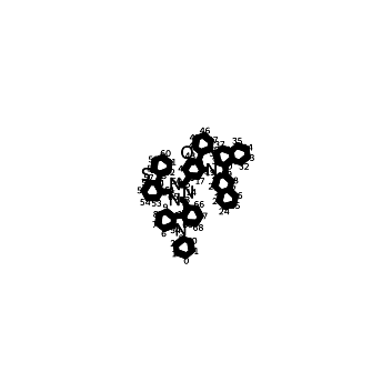 c1ccc(-n2c3ccccc3c3c(-c4nc(-c5cc(-n6c7cc8ccccc8cc7c7c8ccccc8ccc76)c6c(c5)oc5ccccc56)nc(-c5cccc6sc7ccccc7c56)n4)cccc32)cc1